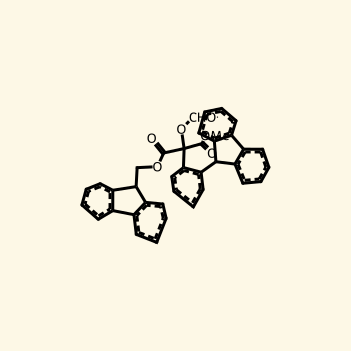 COC(=O)C(O[C]=O)(C(=O)OCC1c2ccccc2-c2ccccc21)c1ccccc1C1c2ccccc2-c2ccccc21